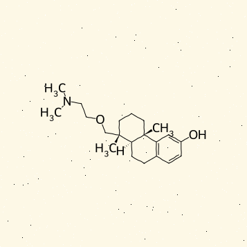 CN(C)CCOC[C@]1(C)CCC[C@]2(C)c3cc(O)ccc3CC[C@@H]12